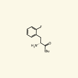 CC(C)(C)C(=O)[C@H](N)Cc1ccccc1F